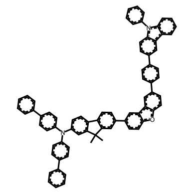 CC1(C)c2cc(-c3ccc4oc5ccc(-c6ccc(-c7ccc8c(c7)c7ccccc7n8-c7ccccc7)cc6)cc5c4c3)ccc2-c2ccc(N(c3ccc(-c4ccccc4)cc3)c3ccc(-c4ccccc4)cc3)cc21